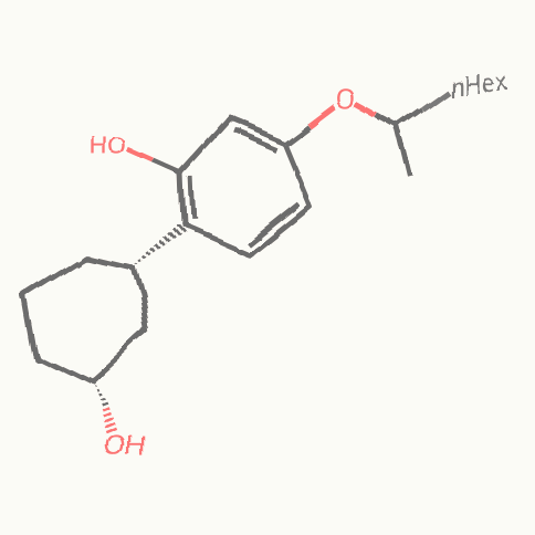 CCCCCCC(C)Oc1ccc([C@H]2CCC[C@@H](O)C2)c(O)c1